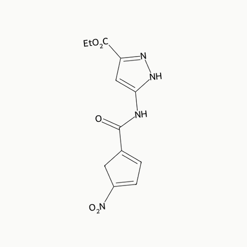 CCOC(=O)c1cc(NC(=O)C2=CC=C([N+](=O)[O-])C2)[nH]n1